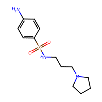 Nc1ccc(S(=O)(=O)NCCCN2CCCC2)cc1